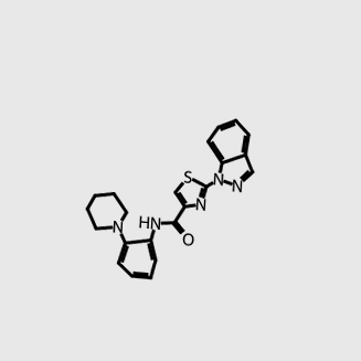 O=C(Nc1ccccc1N1CCCCC1)c1csc(-n2ncc3ccccc32)n1